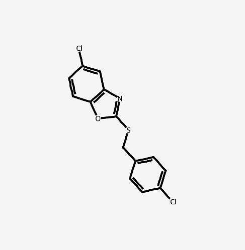 Clc1ccc(CSc2nc3cc(Cl)ccc3o2)cc1